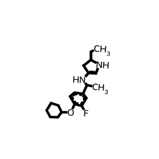 CCC1CC(NC(C)c2ccc(OC3CCCCC3)c(F)c2)=CN1